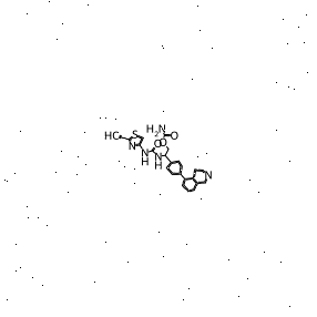 C#Cc1nc(NC(=O)NC(COC(N)=O)c2ccc(-c3cccc4cnccc34)cc2)cs1